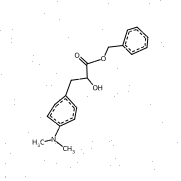 CN(C)c1ccc(CC(O)C(=O)OCc2ccccc2)cc1